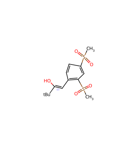 CC(C)(C)/C(O)=C/c1ccc(S(C)(=O)=O)cc1S(C)(=O)=O